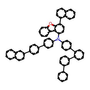 c1ccc(-c2cccc(-c3ccccc3-c3ccc(N(c4ccc(-c5ccc(-c6ccc7ccccc7c6)cc5)cc4)c4ccc(-c5cccc6ccccc56)c5oc6ccccc6c45)cc3)c2)cc1